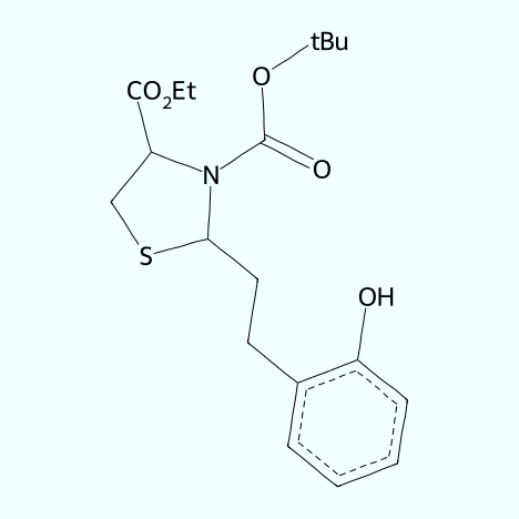 CCOC(=O)C1CSC(CCc2ccccc2O)N1C(=O)OC(C)(C)C